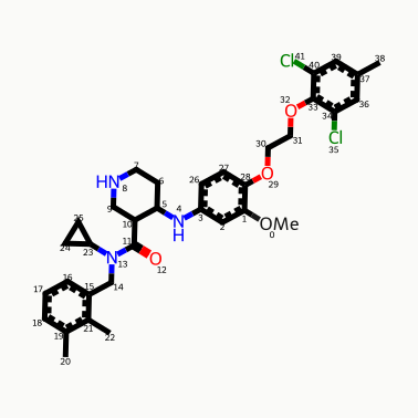 COc1cc(NC2CCNCC2C(=O)N(Cc2cccc(C)c2C)C2CC2)ccc1OCCOc1c(Cl)cc(C)cc1Cl